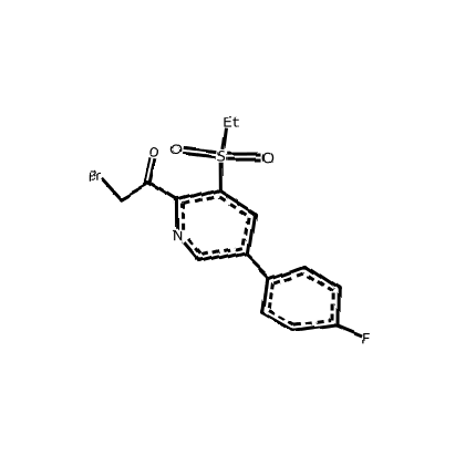 CCS(=O)(=O)c1cc(-c2ccc(F)cc2)cnc1C(=O)CBr